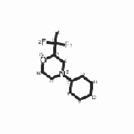 CC(F)(F)C1CN(C2CCCCC2)CCO1